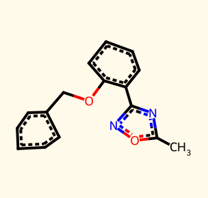 Cc1nc(-c2ccccc2OCc2ccccc2)no1